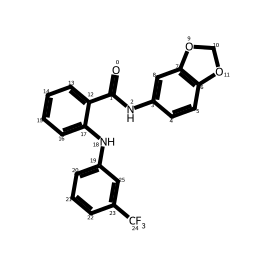 O=C(Nc1ccc2c(c1)OCO2)c1ccccc1Nc1cccc(C(F)(F)F)c1